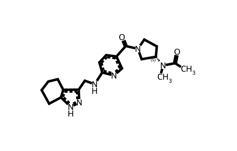 CC(=O)N(C)[C@H]1CCN(C(=O)c2ccc(NCc3n[nH]c4c3CCCC4)nc2)C1